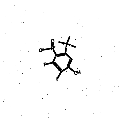 CC(C)(C)c1cc(O)c(I)c(F)c1[N+](=O)[O-]